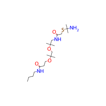 CCCCNC(=O)CCOC(C)(C)COC(C)(C)CNC(=O)CSC(C)(C)N